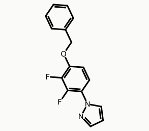 Fc1c(OCc2ccccc2)ccc(-n2cccn2)c1F